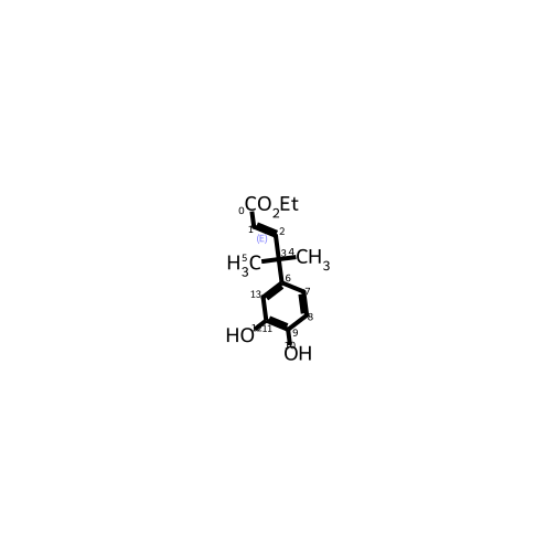 CCOC(=O)/C=C/C(C)(C)c1ccc(O)c(O)c1